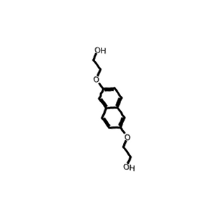 OCCOc1ccc2cc(OCCO)ccc2c1